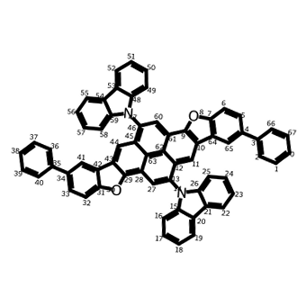 c1ccc(-c2ccc3oc4c(cc5c(-n6c7ccccc7c7ccccc76)cc6c7oc8ccc(-c9ccccc9)cc8c7cc7c(-n8c9ccccc9c9ccccc98)cc4c5c76)c3c2)cc1